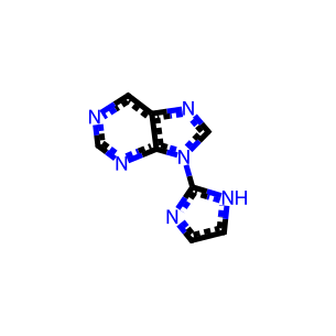 c1c[nH]c(-n2cnc3cncnc32)n1